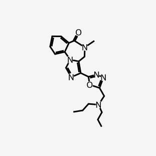 CCCN(CCC)Cc1nnc(-c2ncn3c2CN(C)C(=O)c2ccccc2-3)o1